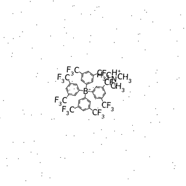 C[NH+](C)C.FC(F)(F)c1cc([B-](c2cc(C(F)(F)F)cc(C(F)(F)F)c2)(c2cc(C(F)(F)F)cc(C(F)(F)F)c2)c2cc(C(F)(F)F)cc(C(F)(F)F)c2)cc(C(F)(F)F)c1